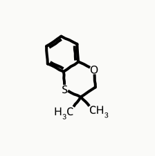 CC1(C)COc2ccccc2S1